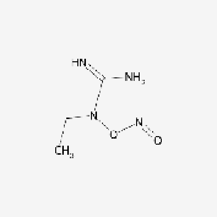 CCN(ON=O)C(=N)N